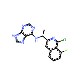 C[C@H](Nc1ncnc2[nH]cnc12)c1cc2cccc(F)c2c(Cl)n1